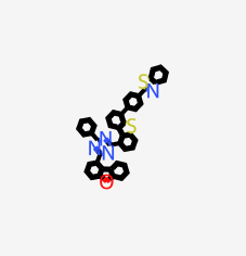 c1ccc(-c2nc(-c3cccc4oc5ccccc5c34)nc(-c3cccc4sc5c(-c6ccc(-c7nc8ccccc8s7)cc6)cccc5c34)n2)cc1